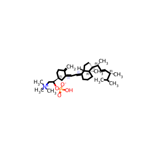 C=C1CC[C@H](C(C[N+](C)(C)C)OP(=O)([O-])O)C/C1=C/C=C1\CCC[C@]2(C)[C@@H]([C@H](C)C=C[C@H](C)C(C)C)CC[C@@H]12